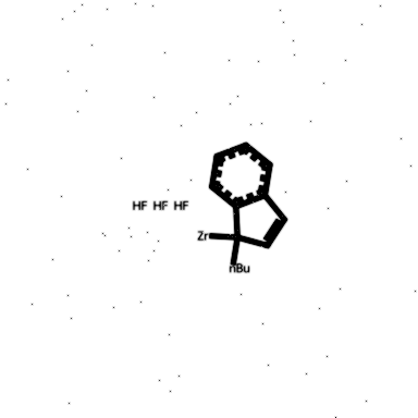 CCCC[C]1([Zr])C=Cc2ccccc21.F.F.F